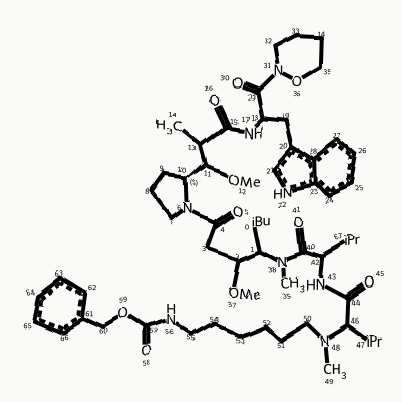 CCC(C)C(C(CC(=O)N1CCC[C@H]1C(OC)C(C)C(=O)NC(Cc1c[nH]c2ccccc12)C(=O)N1CCCCO1)OC)N(C)C(=O)C(NC(=O)C(C(C)C)N(C)CCCCCCNC(=O)OCc1ccccc1)C(C)C